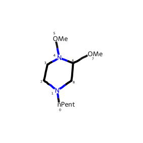 CCCCCN1CCN(OC)C(OC)C1